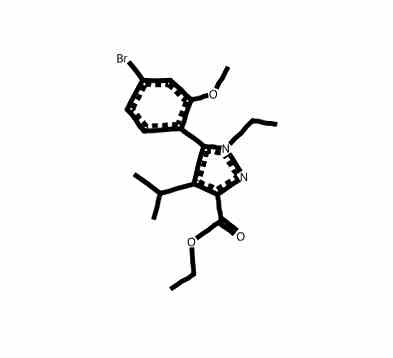 CCOC(=O)c1nn(CC)c(-c2ccc(Br)cc2OC)c1C(C)C